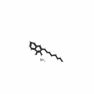 CCCCCCCCc1cc2ccccc2c(C)c1C.N